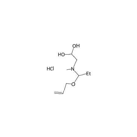 C=CCOC(CC)N(C)CC(O)O.Cl